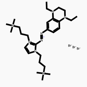 CCN1CCN(CC)c2cc(/N=N/c3n(CCC[N+](C)(C)C)cc[n+]3CCC[N+](C)(C)C)ccc21.[Br-].[Br-].[Br-]